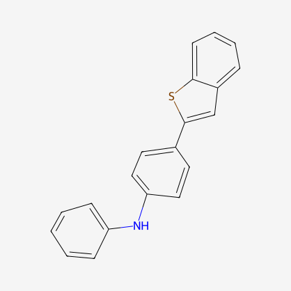 c1ccc(Nc2ccc(-c3cc4ccccc4s3)cc2)cc1